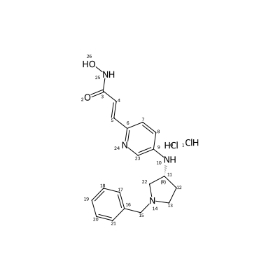 Cl.Cl.O=C(C=Cc1ccc(N[C@@H]2CCN(Cc3ccccc3)C2)cn1)NO